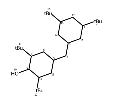 CC(C)(C)C1CC(CC2CC(C(C)(C)C)C(O)C(C(C)(C)C)C2)CC(C(C)(C)C)C1